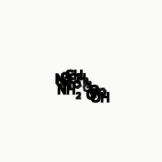 CC1(C)Oc2nccc(N)c2N=C1c1ccc([C@H]2CC[C@H](OP(=O)(O)c3ccccc3)CC2)cc1